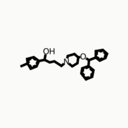 Cc1ccc(C(O)CCCN2CCC(OC(c3ccccc3)c3ccccc3)CC2)cc1